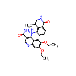 CCOc1cc2ncc(C(N)=O)c(Nc3cccc4c3C(C)CNC4=O)c2cc1OCC